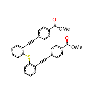 COC(=O)c1ccc(C#Cc2ccccc2Sc2ccccc2C#Cc2ccc(C(=O)OC)cc2)cc1